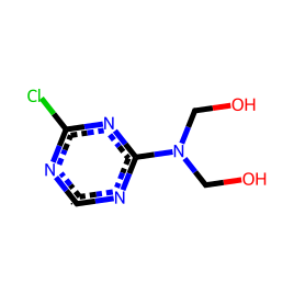 OCN(CO)c1n[c]nc(Cl)n1